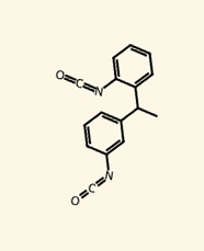 CC(c1cccc(N=C=O)c1)c1ccccc1N=C=O